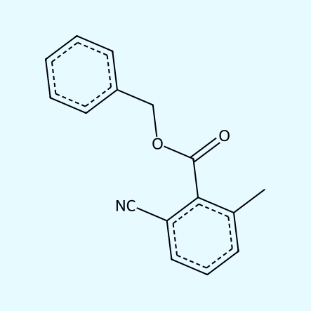 Cc1cccc(C#N)c1C(=O)OCc1ccccc1